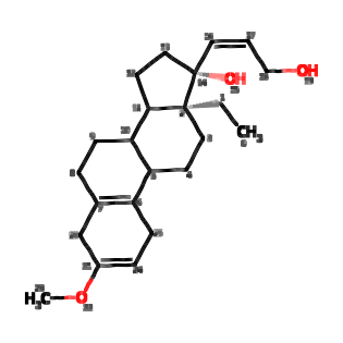 CC[C@]12CCC3C4=C(CCC3C1CC[C@@]2(O)/C=C\CO)CC(OC)=CC4